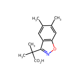 Cc1cc2onc(C(C)(C)C(=O)O)c2cc1C